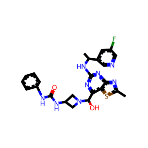 Cc1nc2nc(NC(C)c3cncc(F)c3)nc(C(O)N3CC(NC(=O)Nc4ccccc4)C3)c2s1